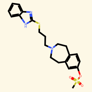 CS(=O)(=O)Oc1ccc2c(c1)CCN(CCCSc1nc3ccccc3[nH]1)CC2